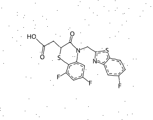 O=C(O)CC1Sc2c(F)cc(F)cc2N(Cc2nc3cc(F)ccc3s2)C1=O